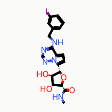 CNC(=O)[C@H]1O[C@@H](c2ccc3c(NCc4cccc(I)c4)ncnn23)[C@H](O)[C@@H]1O